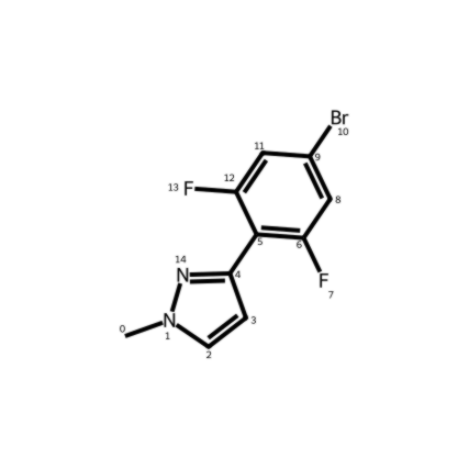 Cn1ccc(-c2c(F)cc(Br)cc2F)n1